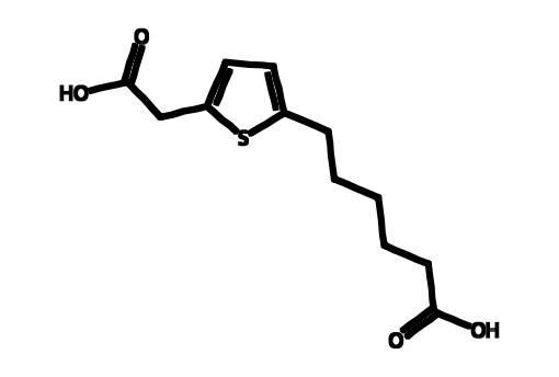 O=C(O)CCCCCc1ccc(CC(=O)O)s1